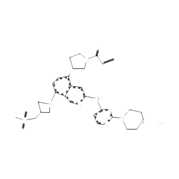 C=CC(=O)N1CC[C@H](c2ccc(N3CC(CS(C)(=O)=O)C3)c3cnc(Nc4ccnc(N5CC[C@@H](OC)[C@@H](F)C5)n4)cc23)C1